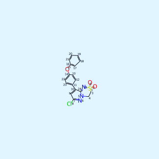 O=S1(=O)CCN2N=C(Cl)C=C(c3ccc(Oc4ccccc4)cc3)C2=N1